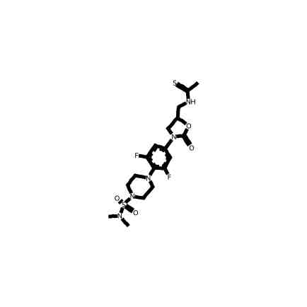 CC(=S)NCC1CN(c2cc(F)c(N3CCN(S(=O)(=O)N(C)C)CC3)c(F)c2)C(=O)O1